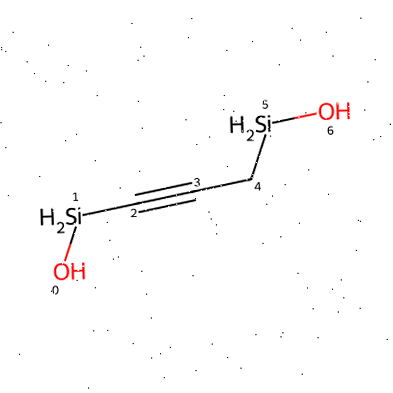 O[SiH2]C#CC[SiH2]O